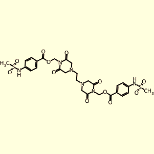 CS(=O)(=O)Nc1ccc(C(=O)OCN2C(=O)CN(CCN3CC(=O)N(COC(=O)c4ccc(NS(C)(=O)=O)cc4)C(=O)C3)CC2=O)cc1